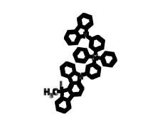 CC1(I)c2ccccc2-c2ccc3c(c21)C1C=CC=CC1N3c1cccc([Si](c2ccccc2)(c2ccccc2)c2cccc(-n3c4ccccc4c4ccccc43)c2)c1